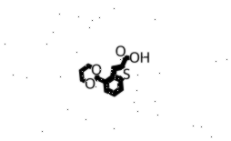 O=C(O)c1cc2c(C3OCCCO3)cccc2s1